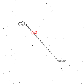 CCCCC/C=C\C/C=C\CCCCCCCCOC(=O)CCCCCCCCCCCCCCCCCCCCCCCCCCCCCCCCC